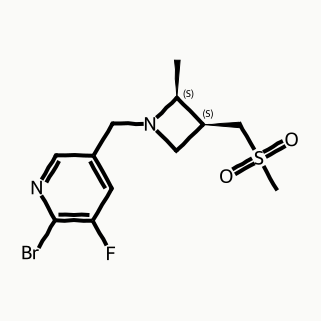 C[C@H]1[C@@H](CS(C)(=O)=O)CN1Cc1cnc(Br)c(F)c1